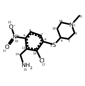 CN1CCC(Sc2ccc([N+](=O)[O-])c(CN)c2Cl)CC1